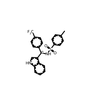 Cc1ccc(S(=O)(=O)N[C@H](c2ccc(C(F)(F)F)cc2)c2c[nH]c3ccccc23)cc1